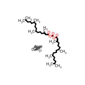 C/C(=C\C(=O)OC(=O)OC(=O)/C=C(\C)CCC[C@H](C)CCC[C@H](C)CCCC(C)C)CCC[C@H](C)CCC[C@H](C)CCCC(C)C.[CaH2].[CaH2].[NaH].[NaH]